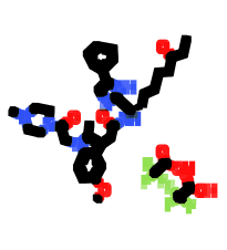 CCC(=O)CCCCC[C@H](NC(=O)Cc1c(C)n(CC(=O)N2CCN(C)CC2)c2ccc(OC)cc12)c1ncc(-c2ccccc2)[nH]1.O=C(O)C(F)(F)F.O=C(O)C(F)(F)F